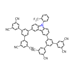 N#Cc1cc(C#N)cc(-c2cc(-c3cc(C#N)cc(C#N)c3)cc(-c3ccc4c(c3)c3cc(-c5cc(-c6cc(C#N)cc(C#N)c6)cc(-c6cc(C#N)cc(C#N)c6)c5)ccc3n4-c3ccccc3C(F)(F)F)c2)c1